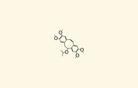 COc1cc2c(cc1OC)CC(OC(C)C)c1cc(OC)c(OC)cc1/C=C\2